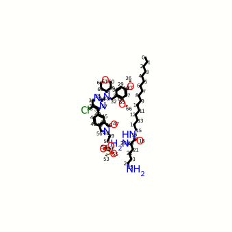 CCCCCCCCCCCCCCCCNC(=O)[C@@H](N)CCCCN.COc1ccc(CN(c2ncc(Cl)c(-c3ccc4c(c3)C(=O)N(CCOS(C)(=O)=O)C4)n2)C2CCOCC2)c(OC)c1